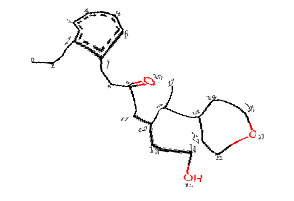 CCc1ccccc1CC(=O)CC(CCO)C(C)C1CCOCC1